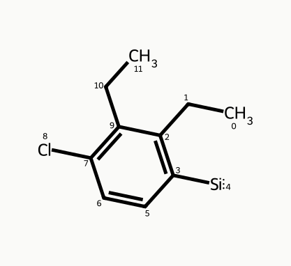 CCc1c([Si])ccc(Cl)c1CC